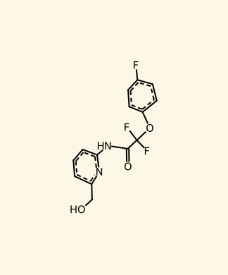 O=C(Nc1cccc(CO)n1)C(F)(F)Oc1ccc(F)cc1